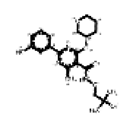 CC(C)(O)CONC(=O)c1c(N)nc(-c2cccc(C#N)c2)nc1O[C@@H]1CCCOC1